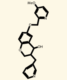 COc1ccnc(COc2ccc3c(c2)C(O)C(Cc2cccnc2)CO3)c1